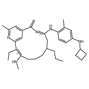 C=C1/N=C(\Nc2ccc(NC3CCC3)cc2C)CC(CCC)CCC/C(NC)=C(/CC)c2cc1cc(C)n2